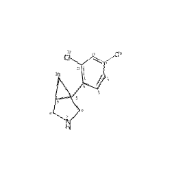 Clc1ccc(C23CNCC2C3)c(Cl)c1